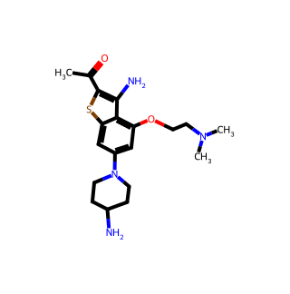 CC(=O)c1sc2cc(N3CCC(N)CC3)cc(OCCN(C)C)c2c1N